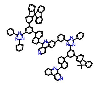 CC1(C)c2ccccc2-c2ccc(-c3cc(-c4nc(-c5ccccc5)nc(-c5cccc(-c6ccc7c(c6)nc(-c6cccc8c(-c9cc(-c%10ccc%11c(c%10)C%10(c%12ccccc%12-c%12ccccc%12%10)c%10ccccc%10-%11)cc(-c%10nc(-c%11ccccc%11)nc(-c%11ccccc%11)n%10)c9)cccc68)c6cnccc67)c5)n4)cc(-c4cccc5c(-c6nc7ccccc7c7ccncc67)cccc45)c3)cc21